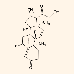 CC1C[C@H]2[C@@H]3CC(F)C4=CC(=O)CC[C@]4(C)[C@@]3(F)C=C[C@]2(C)[C@H]1C(=O)CO